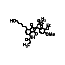 C=CC(=O)Nc1ccc(CCCCCO)c2c1C(=O)N([C@H](CS(C)(=O)=O)c1ccc(OC)c(OCC)c1)C2=O